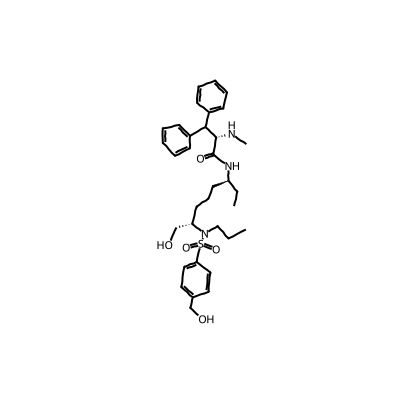 CCCN([C@H](CO)CCC[C@H](CC)NC(=O)[C@@H](NC)C(c1ccccc1)c1ccccc1)S(=O)(=O)c1ccc(CO)cc1